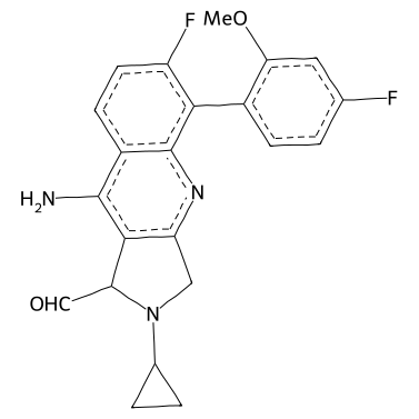 COc1cc(F)ccc1-c1c(F)ccc2c(N)c3c(nc12)CN(C1CC1)C3C=O